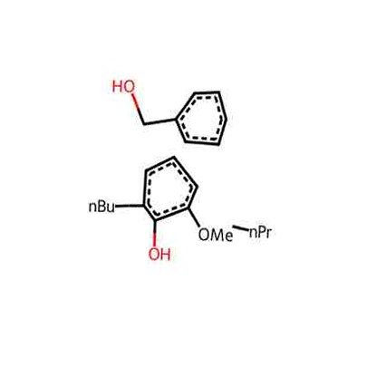 CCCC.CCCCc1cccc(OC)c1O.OCc1ccccc1